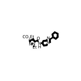 CCOC(=O)c1cnn(CC)c1C(=O)Nc1ccn2cc(-c3ccccc3)nc2c1